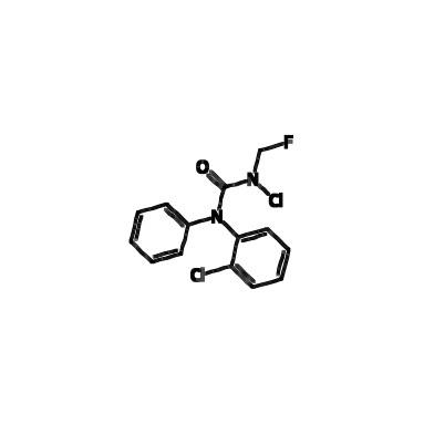 O=C(N(Cl)CF)N(c1ccccc1)c1ccccc1Cl